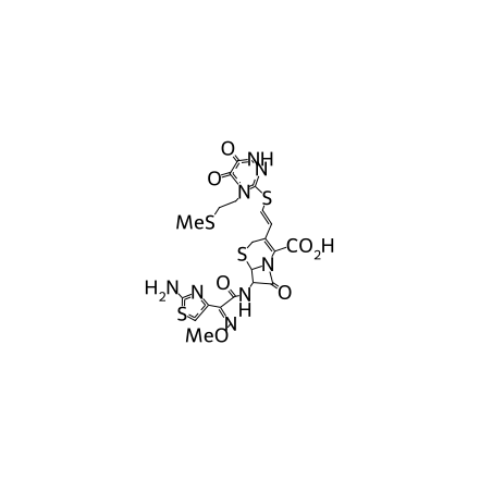 CON=C(C(=O)NC1C(=O)N2C(C(=O)O)=C(C=CSc3n[nH]c(=O)c(=O)n3CCSC)CSC12)c1csc(N)n1